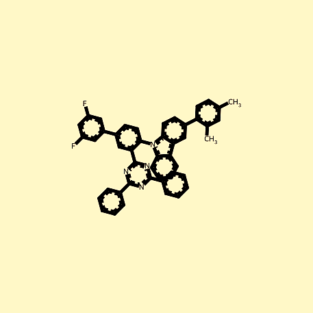 Cc1ccc(-c2ccc3c(c2)c2ccccc2n3-c2ccc(-c3cc(F)cc(F)c3)cc2-c2nc(-c3ccccc3)nc(-c3ccccc3)n2)c(C)c1